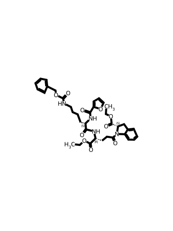 CCOC(=O)[C@@H](CCC(=O)N1c2ccccc2C[C@H]1C(=O)OCC)NC(=O)[C@H](CCCCNC(=O)OCc1ccccc1)NC(=O)c1ccco1